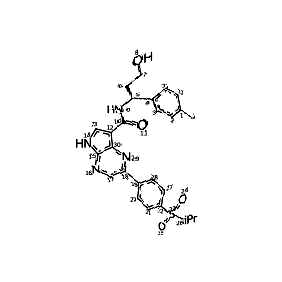 Cc1ccc([C@H](CCO)NC(=O)c2c[nH]c3ncc(-c4ccc(S(=O)(=O)C(C)C)cc4)nc23)cc1